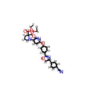 CCOC(=O)C1(C(=O)OCC)CCCN1c1ccc(Oc2ccc(-c3nc(-c4ccc(C#N)cc4)co3)cc2)nc1